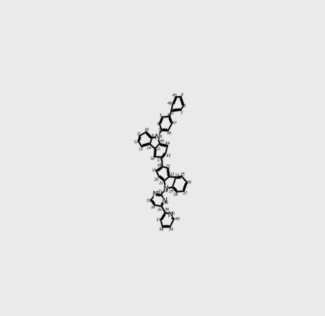 c1ccc(-c2ccc(-n3c4ccccc4c4cc(-c5ccc6c(c5)c5ccccc5n6-c5nccc(-c6ccccn6)n5)ccc43)cc2)cc1